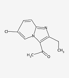 CCc1nc2ccc(Cl)cn2c1C(C)=O